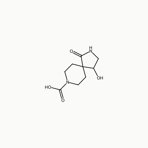 O=C(O)N1CCC2(CC1)C(=O)NCC2O